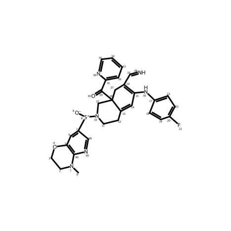 CN1CCOc2cc([S+]([O-])N3CCC4=CC(Nc5ccc(F)cc5)=C(C=N)CC4(C(=O)c4ccccn4)C3)cnc21